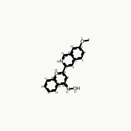 COc1ccc2cc(-c3c/c(=N\O)c4ccccc4o3)ncc2c1